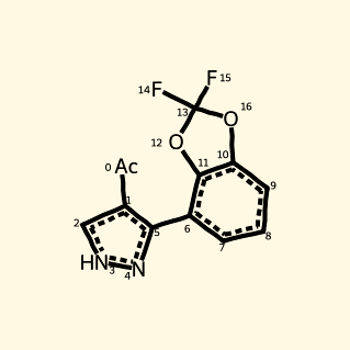 CC(=O)c1c[nH]nc1-c1cccc2c1OC(F)(F)O2